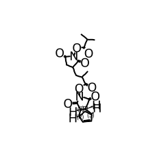 CC(C)C(=O)ON1C(=O)CC(CC(C)C(=O)ON2C(=O)[C@@H]3[C@H](C2=O)[C@@H]2C=C[C@H]3C2)C1=O